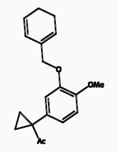 COc1ccc(C2(C(C)=O)CC2)cc1OCC1=CCCC=C1